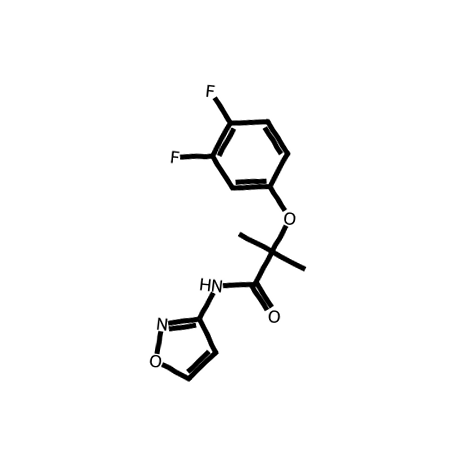 CC(C)(Oc1ccc(F)c(F)c1)C(=O)Nc1ccon1